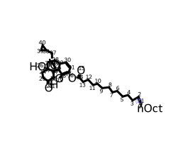 CCCCCCCC/C=C\CCCCCCCCCCCC(=O)OC1=C2O[C@H]3C(=O)CC[C@@]4(O)C5CC(C=C1)C2[C@@]34CCN5CC1CC1